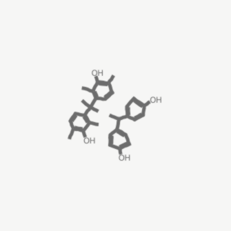 CC(c1ccc(O)cc1)c1ccc(O)cc1.Cc1ccc(C(C)(C)c2ccc(C)c(O)c2C)c(C)c1O